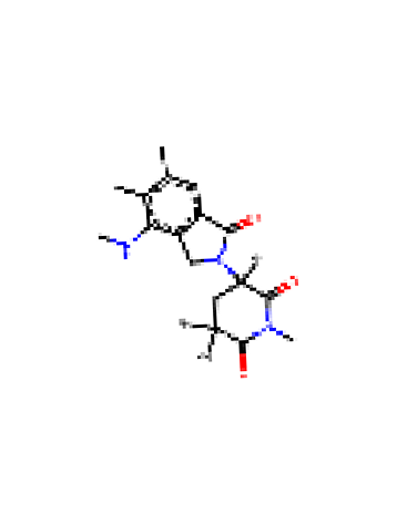 [2H]C1([2H])CC([2H])(N2Cc3c(cc(C)c(C)c3NC)C2=O)C(=O)N(C)C1=O